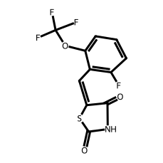 O=C1NC(=O)/C(=C\c2c(F)cccc2OC(F)(F)F)S1